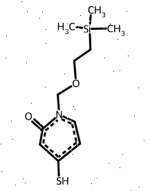 C[Si](C)(C)CCOCn1ccc(S)cc1=O